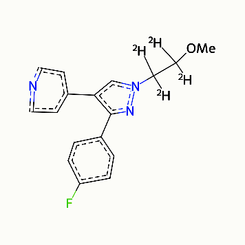 [2H]C([2H])(OC)C([2H])([2H])n1cc(-c2ccncc2)c(-c2ccc(F)cc2)n1